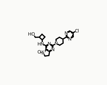 [O-][S@+]1CCc2nc(N3CCC(c4ncc(Cl)cn4)CC3)nc(NC3CCC3CO)c21